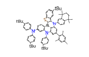 Cc1cc(C)c(-c2cc3c4c(c2)N(c2ccc5c(c2)C(C)(C)CCC5(C)C)c2c(sc5ccc(C(C)(C)C)cc25)B4c2ccc(N(c4ccc(C(C)(C)C)cc4)c4ccc(C(C)(C)C)cc4)cc2N3c2ccc(C(C)(C)C)cc2)c(C)c1